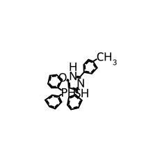 Cc1ccc(-c2nc(S)c([PH](c3ccccc3)(c3ccccc3)c3ccccc3)c(=O)[nH]2)cc1